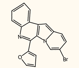 Brc1ccc2cc3c4ccccc4nc(-c4ccco4)c3n2c1